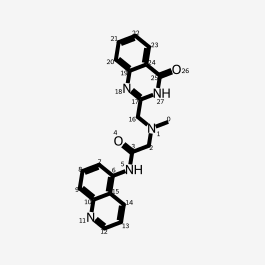 CN(CC(=O)Nc1cccc2ncccc12)Cc1nc2ccccc2c(=O)[nH]1